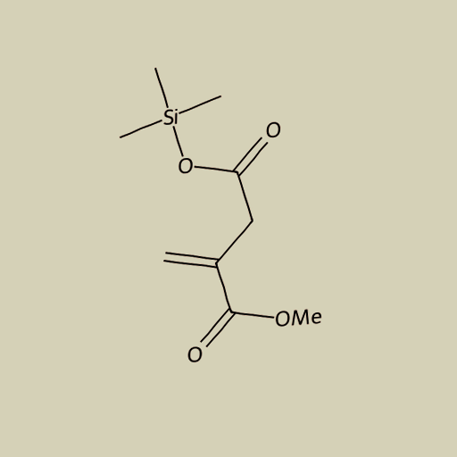 C=C(CC(=O)O[Si](C)(C)C)C(=O)OC